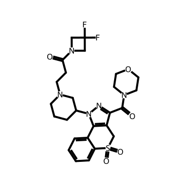 O=C(CCN1CCCC(n2nc(C(=O)N3CCOCC3)c3c2-c2ccccc2S(=O)(=O)C3)C1)N1CC(F)(F)C1